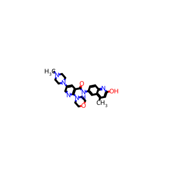 Cc1cc(O)nc2ccc(NC(=O)c3cc(N4CCN(C)CC4)cnc3N3CCOCC3)cc12